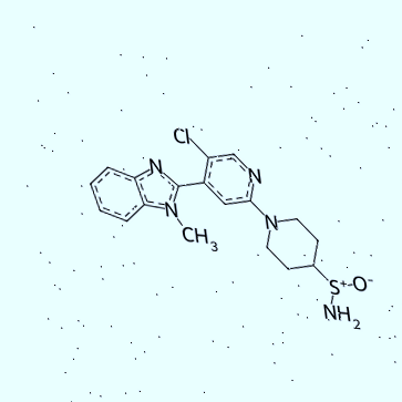 Cn1c(-c2cc(N3CCC([S+](N)[O-])CC3)ncc2Cl)nc2ccccc21